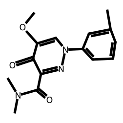 COc1cn(-c2cccc(C)c2)nc(C(=O)N(C)C)c1=O